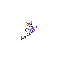 CCCNCc1ccc(N/C(=C2\C(=O)Nc3cc(OCC)c(OCC)cc32)c2ccccc2)cc1